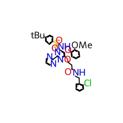 COc1ccccc1Oc1c(NS(=O)(=O)c2ccc(C(C)(C)C)cc2)nc(-c2ncccn2)nc1OCCC(=O)NCCc1ccccc1Cl